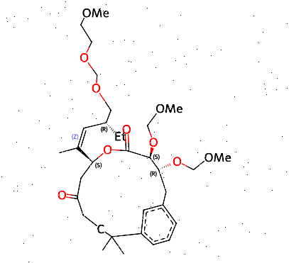 CC[C@H](/C=C(/C)[C@@H]1CC(=O)CCC(C)(C)c2cccc(c2)C[C@@H](OCOC)[C@H](OCOC)C(=O)O1)COCOCCOC